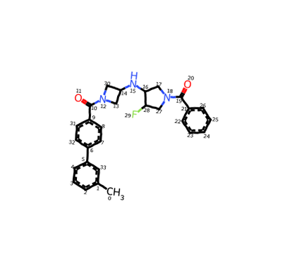 Cc1cccc(-c2ccc(C(=O)N3CC(NC4CN(C(=O)c5ccccc5)CC4F)C3)cc2)c1